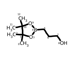 CC1(C)OB(CCCO)OC1(C)C